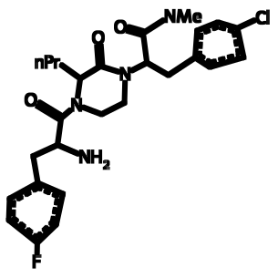 CCCC1C(=O)N(C(Cc2ccc(Cl)cc2)C(=O)NC)CCN1C(=O)C(N)Cc1ccc(F)cc1